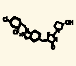 O=C1N=C(N2CC[C@H](O)C2)S/C1=C\c1ccc2c(cnn2Cc2ccc(Cl)cc2C(F)(F)F)c1